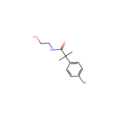 CC(C)c1ccc(C(C)(C)C(=O)NCCO)cc1